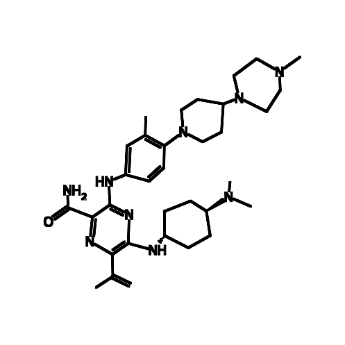 C=C(C)c1nc(C(N)=O)c(Nc2ccc(N3CCC(N4CCN(C)CC4)CC3)c(C)c2)nc1N[C@H]1CC[C@H](N(C)C)CC1